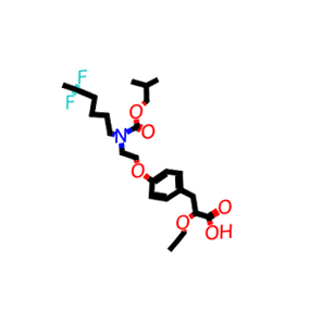 CCOC(Cc1ccc(OCCN(CCCCC(C)(F)F)C(=O)OCC(C)C)cc1)C(=O)O